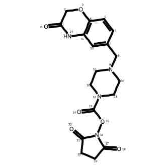 O=C1COc2ccc(CN3CCN(C(=O)ON4C(=O)CCC4=O)CC3)cc2N1